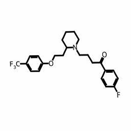 O=C(CCCN1CCCCC1CCOc1ccc(C(F)(F)F)cc1)c1ccc(F)cc1